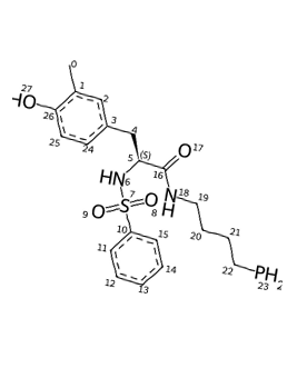 Cc1cc(C[C@H](NS(=O)(=O)c2ccccc2)C(=O)NCCCCP)ccc1O